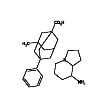 CC12CC3CC(C(=O)O)(C1)CC(c1ccccc1)(C3)C2.NC1CCCN2CCCC12